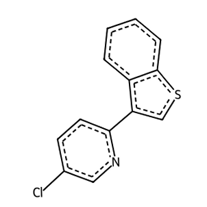 Clc1ccc(-c2csc3ccccc23)nc1